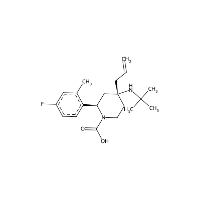 C=CC[C@@]1(NC(C)(C)C)CCN(C(=O)O)[C@@H](c2ccc(F)cc2C)C1